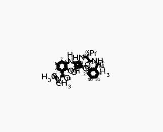 CC(C)[C@H](Nc1c(Nc2cccc(C(=O)N(C)C)c2O)c(=O)c1=O)C(=O)N[C@H](C)c1ccccc1